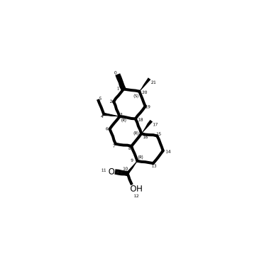 C=C1C[C@@]2(CC)CCC3[C@H](C(=O)O)CCC[C@@]3(C)C2C[C@@H]1C